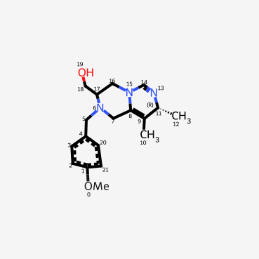 COc1ccc(CN2CC3=C(C)[C@@H](C)N=CN3CC2CO)cc1